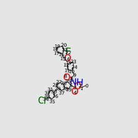 CCOC(=O)C1(NC(=O)Cc2ccc(OCc3ccccc3F)cc2)Cc2ccc(-c3ccc(Cl)cc3)cc2C1